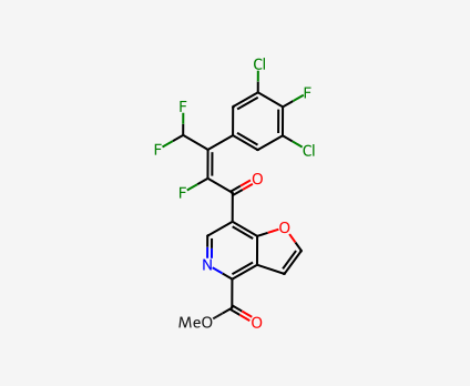 COC(=O)c1ncc(C(=O)/C(F)=C(\c2cc(Cl)c(F)c(Cl)c2)C(F)F)c2occc12